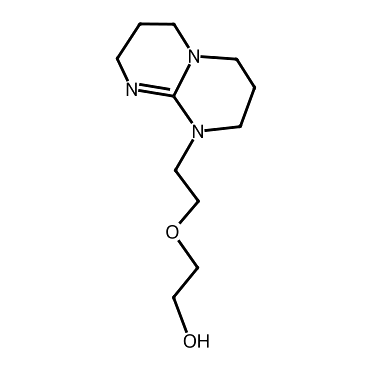 OCCOCCN1CCCN2CCCN=C21